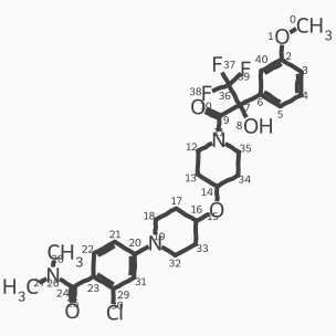 COc1cccc(C(O)(C(=O)N2CCC(OC3CCN(c4ccc(C(=O)N(C)C)c(Cl)c4)CC3)CC2)C(F)(F)F)c1